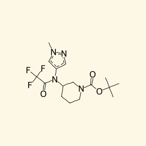 Cn1cc(N(C(=O)C(F)(F)F)C2CCCN(C(=O)OC(C)(C)C)C2)cn1